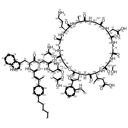 CCCCCc1ccc(/C(C)=C/C(=O)N[C@@H](Cc2c[nH]c3ccccc23)C(=O)N[C@H](CC(N)=O)C(=O)N[C@@H](CC(=O)O)C(=O)N[C@@H]2C(=O)NCC(=O)N[C@@H](CCCN)C(=O)N[C@@H](C)C(=O)N[C@H](C)C(=O)N[C@@H](CC(=O)O)C(=O)NCC(=O)N[C@H](CO)C(=O)N[C@@H](C(C)CC(=O)O)C(=O)N[C@@H](CC(=O)c3ccccc3NC)C(=O)O[C@@H]2C)cc1